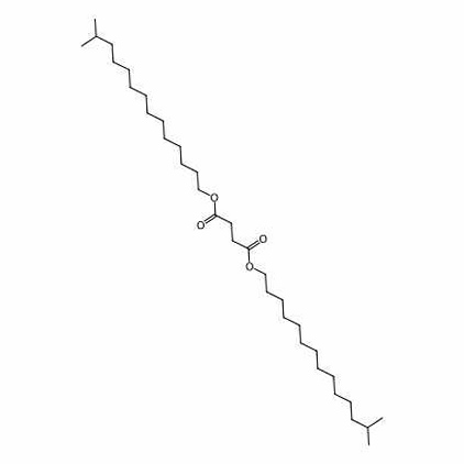 CC(C)CCCCCCCCCCCCOC(=O)CCC(=O)OCCCCCCCCCCCCC(C)C